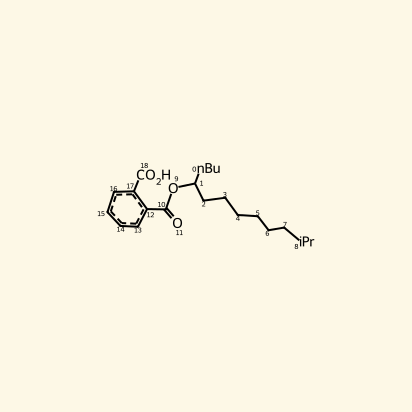 CCCCC(CCCCCCC(C)C)OC(=O)c1ccccc1C(=O)O